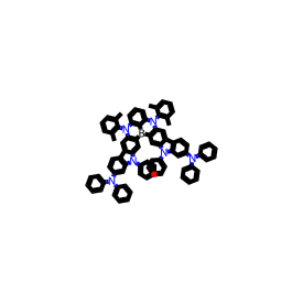 Cc1cccc(C)c1N1c2cc3c4ccc(N(c5ccccc5)c5ccccc5)cc4n(-c4ccccc4)c3cc2B2c3cc4c(cc3N(c3c(C)cccc3C)c3cccc1c32)c1ccc(N(c2ccccc2)c2ccccc2)cc1n4-c1ccccc1